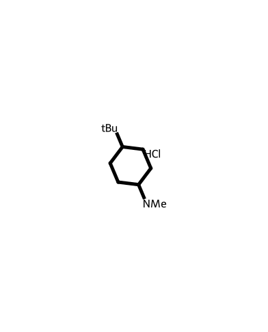 CNC1CCC(C(C)(C)C)CC1.Cl